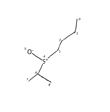 CCCC[S+]([O-])C(C)C